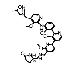 COc1nc(-c2ccnc(-c3cccc(Nc4nccc(CNC[C@@H](C)O)c4OC)c3Cl)c2Cl)ccc1CNC[C@H]1CCC(=O)N1